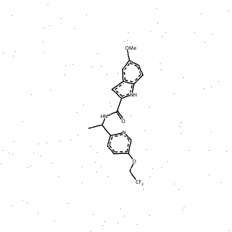 COc1ccc2[nH]c(C(=O)NC(C)c3ccc(OCC(F)(F)F)cn3)cc2c1